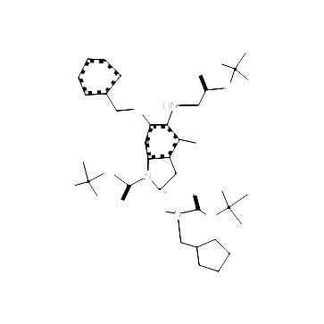 CC(C)(C)OC(=O)CNc1c(OCc2ccccc2)cc2c(c1F)C[C@H](CN(CC1CCCC1)C(=O)OC(C)(C)C)N2C(=O)OC(C)(C)C